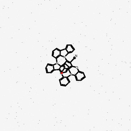 N#Cc1c(-n2c3ccccc3c3cccc(-n4c5ccccc5c5ccccc54)c32)cc2c3c1Oc1ccccc1B3c1ccccc1O2